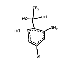 Cl.Nc1cc(Br)ccc1C(O)(O)C(F)(F)F